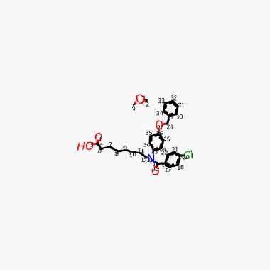 COC.O=C(O)CCCCCCCN(C(=O)c1ccc(Cl)cc1)c1ccc(OCc2ccccc2)cc1